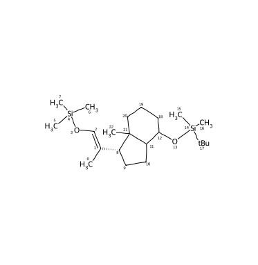 CC(=CO[Si](C)(C)C)[C@H]1CCC2C(O[Si](C)(C)C(C)(C)C)CCCC21C